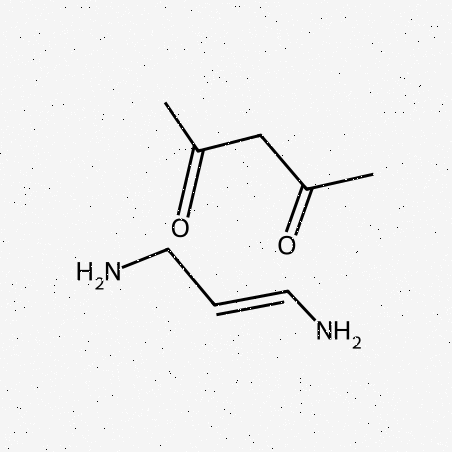 CC(=O)CC(C)=O.NC=CCN